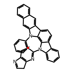 C1=Nc2cnc(-n3c4ccccc4c4ccc5c6cc7ccccc7cc6n(-c6ccccc6)c5c43)nc2C1